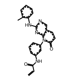 C=CC(=O)Nc1cccc(-n2c(=O)ccc3cnc(Nc4ccccc4C)nc32)c1